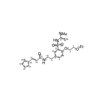 CCOCCOc1ccc(CCNC(=O)C=Cc2cccs2)cc1S(=O)(=O)NC(=S)NC